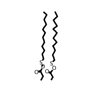 CCCCCCCCCCCCSOC(=O)CC.CCCCCCCCCCCCSOC(=O)CC